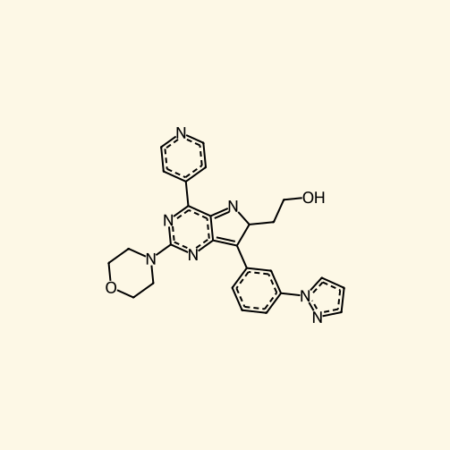 OCCC1N=c2c(-c3ccncc3)nc(N3CCOCC3)nc2=C1c1cccc(-n2cccn2)c1